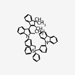 CCc1c(C2=C(C)C(C)(C)c3ccccc32)c2ccccc2n1-c1cccc(C[Si](c2ccccc2)(c2ccccc2)c2cccc(-n3c4ccccc4c4ccccc43)c2)c1